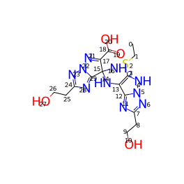 CCSc1[nH]n2nc(CCO)nc2c1NC1(N)C(C(=O)O)=Nn2nc(CCO)nc21